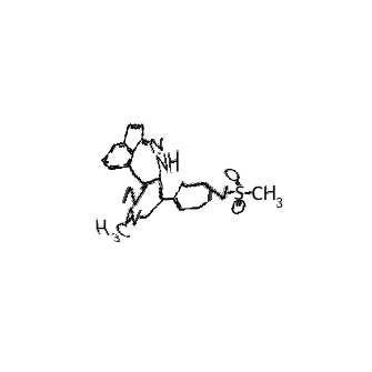 CN1CC(C2=CCN(S(C)(=O)=O)CC2)=C2NN=C3C=Cc4cccc(c43)C2=N1